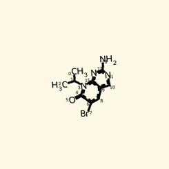 CC(C)n1c(=O)c(Br)cc2cnc(N)nc21